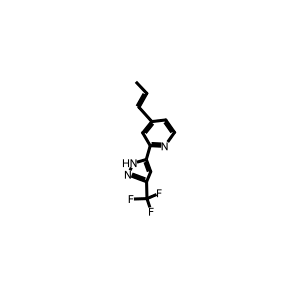 C/C=C/c1ccnc(-c2cc(C(F)(F)F)n[nH]2)c1